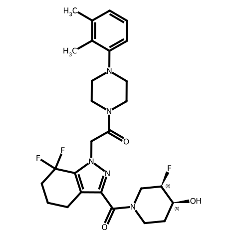 Cc1cccc(N2CCN(C(=O)Cn3nc(C(=O)N4CC[C@H](O)[C@H](F)C4)c4c3C(F)(F)CCC4)CC2)c1C